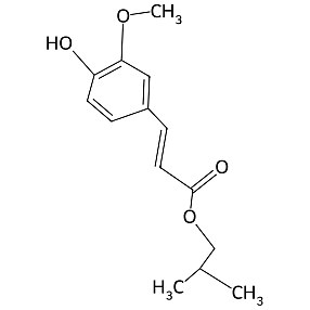 COc1cc(C=CC(=O)OCC(C)C)ccc1O